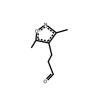 Cc1noc(C)c1CCC=O